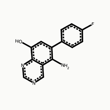 Nc1c(-c2ccc(F)cc2)cc(O)c2ncncc12